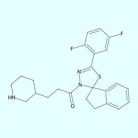 O=C(CCC1CCCNC1)N1N=C(c2cc(F)ccc2F)SC12CCc1ccccc12